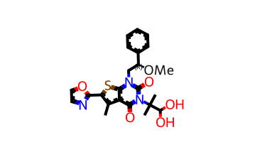 CO[C@@H](Cn1c(=O)n(C(C)(C)C(O)O)c(=O)c2c(C)c(-c3ncco3)sc21)c1ccccc1